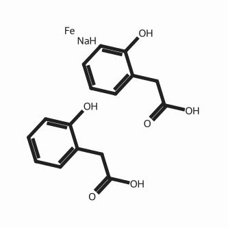 O=C(O)Cc1ccccc1O.O=C(O)Cc1ccccc1O.[Fe].[NaH]